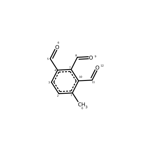 Cc1ccc(C=O)c(C=O)c1C=O